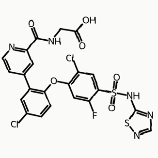 O=C(O)CNC(=O)c1cc(-c2cc(Cl)ccc2Oc2cc(F)c(S(=O)(=O)Nc3ncns3)cc2Cl)ccn1